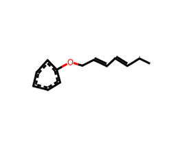 C[CH]C=CC=CCOc1ccccc1